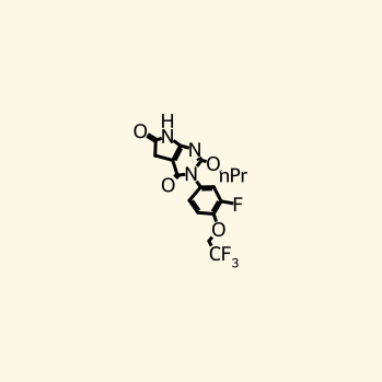 CCCOc1nc2c(c(=O)n1-c1ccc(OCC(F)(F)F)c(F)c1)CC(=O)N2